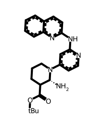 CC(C)(C)OC(=O)C1CCCN(c2ccnc(Nc3ccc4ccccc4n3)c2)[C@@H]1N